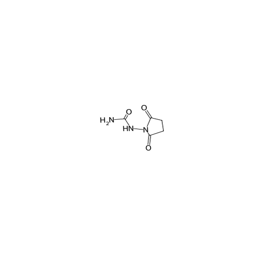 NC(=O)NN1C(=O)CCC1=O